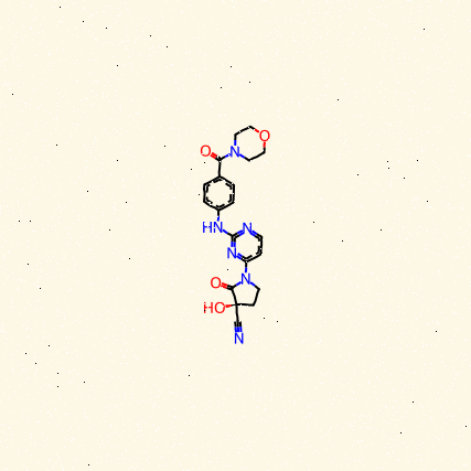 N#C[C@@]1(O)CCN(c2ccnc(Nc3ccc(C(=O)N4CCOCC4)cc3)n2)C1=O